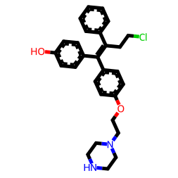 Oc1ccc(C(=C(CCCl)c2ccccc2)c2ccc(OCCN3CCNCC3)cc2)cc1